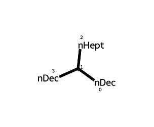 CCCCCCCCCC[C](CCCCCCC)CCCCCCCCCC